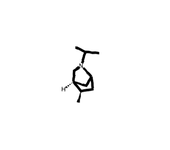 CC(C)N1C[C@H]2CC1C[C@H]2C